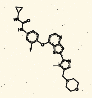 Cn1c(CN2CCOCC2)cnc1-c1cc2nccc(Oc3ccc(NC(=O)NC4CC4)cc3F)c2s1